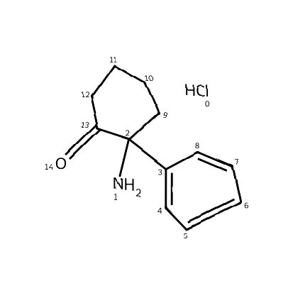 Cl.NC1(c2ccccc2)CCCCC1=O